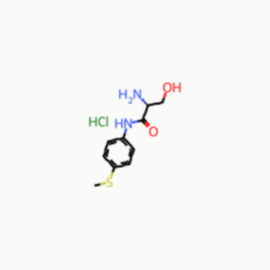 CSc1ccc(NC(=O)[C@@H](N)CO)cc1.Cl